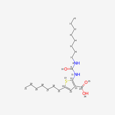 CCCCCCCCNC(=O)Nc1sc(CCCCCCC)cc1C(=O)O